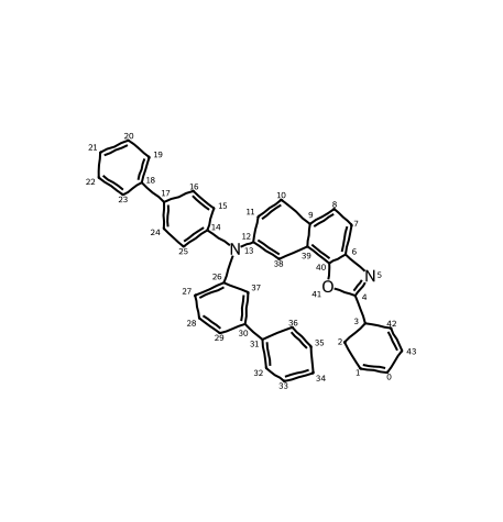 C1=CCC(c2nc3ccc4ccc(N(c5ccc(-c6ccccc6)cc5)c5cccc(-c6ccccc6)c5)cc4c3o2)C=C1